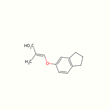 C/C(=C\Oc1ccc2c(c1)CCC2)C(=O)O